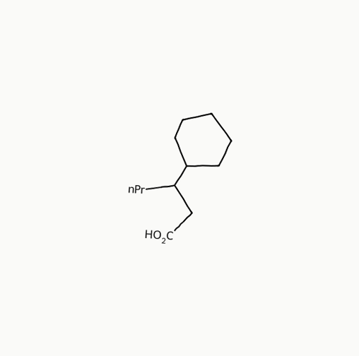 CCCC(CC(=O)O)C1CCCCC1